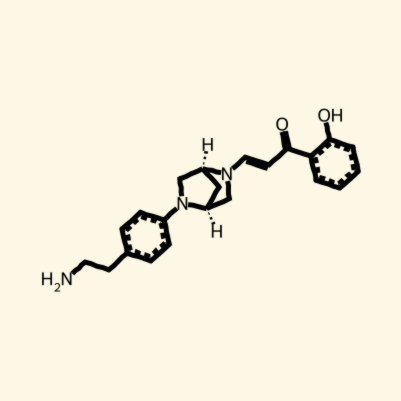 NCCc1ccc(N2C[C@@H]3C[C@H]2CN3/C=C/C(=O)c2ccccc2O)cc1